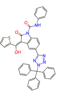 O=C(Nc1ccccc1)N1C(=O)C(=C(O)c2cccs2)c2cc(-c3nnn(C(c4ccccc4)(c4ccccc4)c4ccccc4)n3)ccc21